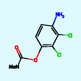 CNC(=O)Oc1ccc(N)c(Cl)c1Cl